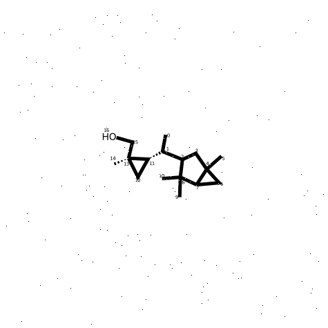 CC(C1CC2(C)CC2C1(C)C)[C@@H]1C[C@@]1(C)CO